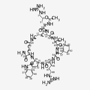 CC(=O)N[C@@H](CCCNC(=N)N)C(=O)NC1CCCNC(=O)CCC(C(N)=O)NC(=O)[C@H](Cc2c[nH]c3ccccc23)NC(=O)[C@H](CCCNC(=N)N)NC(=O)C(Cc2ccccc2)NC(=O)[C@H](C)NC1=O